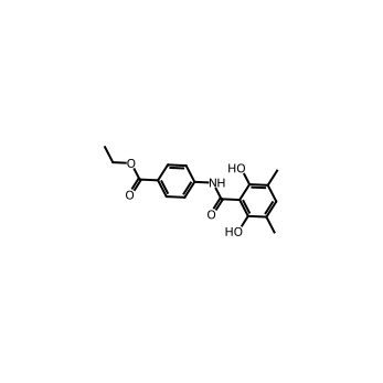 CCOC(=O)c1ccc(NC(=O)c2c(O)c(C)cc(C)c2O)cc1